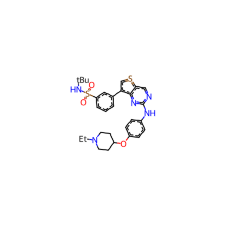 CCN1CCC(Oc2ccc(Nc3ncc4scc(-c5cccc(S(=O)(=O)NC(C)(C)C)c5)c4n3)cc2)CC1